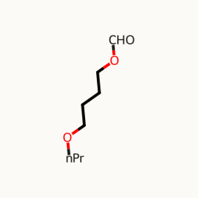 [CH2]CCOCCCCOC=O